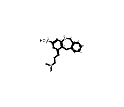 CN(C)CCC=C1CC(C(=O)O)=CC2=C1Cc1ccccc1CO2